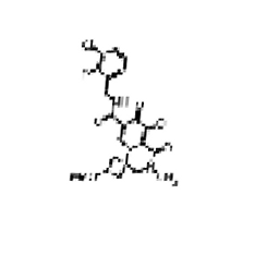 CO[C@H]1C[C@@]2(CN(C)C(=O)c3c(O)c(=O)c(C(=O)NCc4cccc(Cl)c4F)cn32)C1